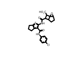 O=C(Nc1ccc(Cl)cc1)c1c(NC(=O)C2C3CCC4OC43C2C(=O)O)sc2c1CCC2